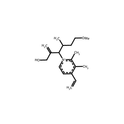 C=Cc1cc[n+](C(C(=C)CO)C(C)CCOC)c(C)c1C